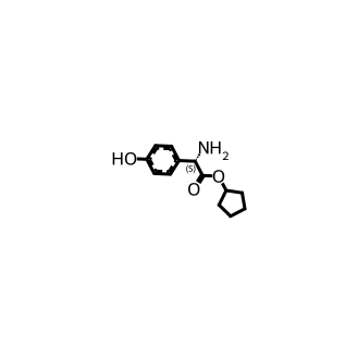 N[C@H](C(=O)OC1CCCC1)c1ccc(O)cc1